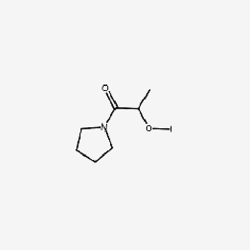 CC(OI)C(=O)N1CCCC1